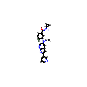 CN(c1cnc2[nH]c(-c3cccnc3)cc2c1)c1cc(C(=O)NC2CC2)ccc1F